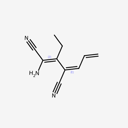 C=C/C=C(C#N)\C(CC)=C(/N)C#N